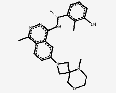 Cc1c(C#N)cccc1[C@@H](C)Nc1nnc(C)c2ccc(N3CC4(COCCN4C)C3)cc12